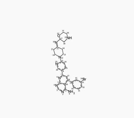 Nc1ncnc2nc(-c3ccc(N4CCC(=NC5CNCCO5)CC4)nc3)cc(-c3cccc(Br)c3)c12